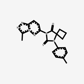 Cc1ccc(N2C(=S)N(c3ccc4nnc(C)n4n3)C(=O)C23CCC3)cc1